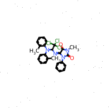 Cc1ccccc1N(c1ccccc1C)C(N=C1C(=O)N(C)C(=O)N1c1ccccc1)C(Cl)(Cl)Cl